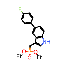 CCOP(=O)(Cc1c[nH]c2ccc(-c3ccc(F)cc3)cc12)OCC